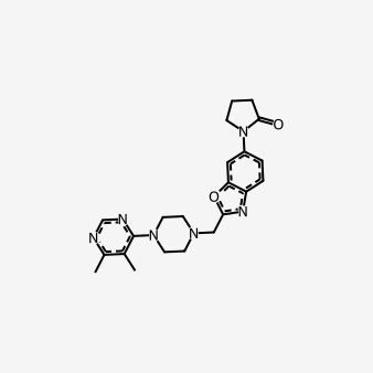 Cc1ncnc(N2CCN(Cc3nc4ccc(N5CCCC5=O)cc4o3)CC2)c1C